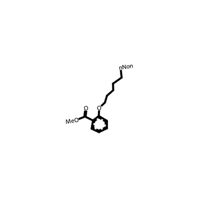 CCCCCCCCCCCCCCOc1ccccc1C(=O)OC